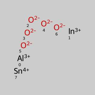 [Al+3].[In+3].[O-2].[O-2].[O-2].[O-2].[O-2].[Sn+4]